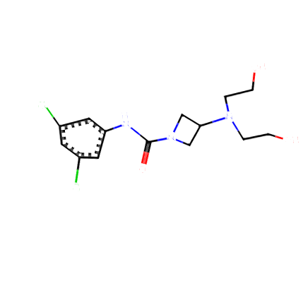 O=C(Nc1cc(Cl)cc(Cl)c1)N1CC(N(CCO)CCO)C1